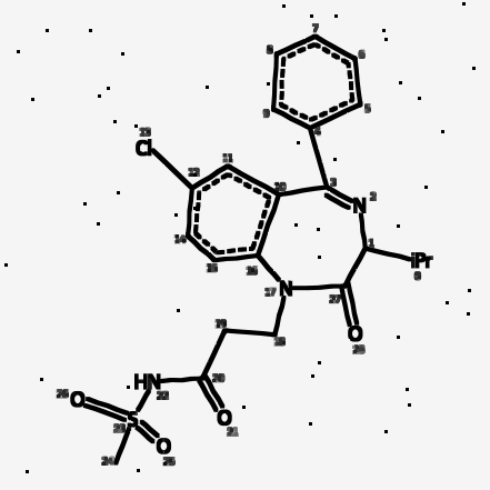 CC(C)C1N=C(c2ccccc2)c2cc(Cl)ccc2N(CCC(=O)NS(C)(=O)=O)C1=O